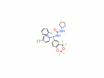 O=C(NC1CCCC1)N[C@@](Cc1ccccc1)(c1ccc2c(c1)C(F)(F)OC(F)(F)O2)c1ccc(Cl)cn1